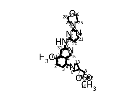 Cc1ccc(N2CC(CS(C)(=O)=O)C2)c2cnc(Nc3ccnc(N4CCOCC4)n3)cc12